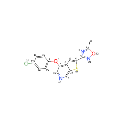 Cc1nc(-c2cc3c(Oc4ccc(Cl)cc4)cncc3s2)no1